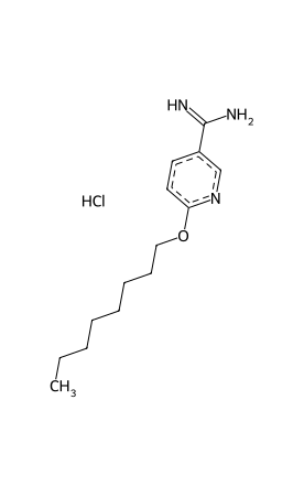 CCCCCCCCOc1ccc(C(=N)N)cn1.Cl